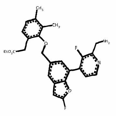 CCOC(=O)Cc1ccc(C)c(C)c1OCc1cc(-c2ccnc(CN)c2F)c2oc(F)cc2c1